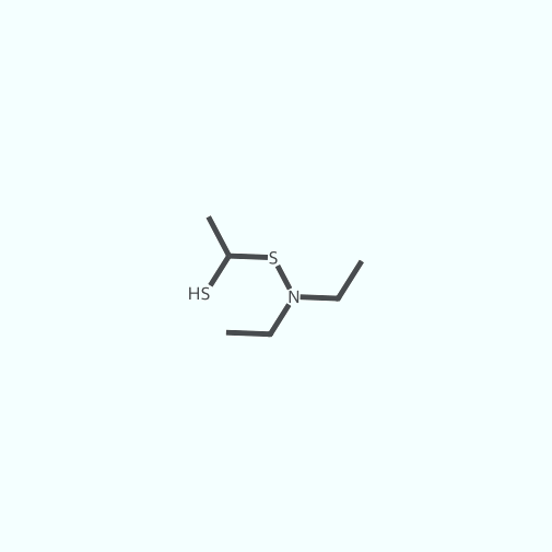 CCN(CC)SC(C)S